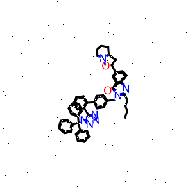 CCCCc1nc2ccc(C3CC4CCCCN4O3)cc2c(=O)n1Cc1ccc(-c2ccccc2-c2nnnn2C(c2ccccc2)(c2ccccc2)c2ccccc2)cc1